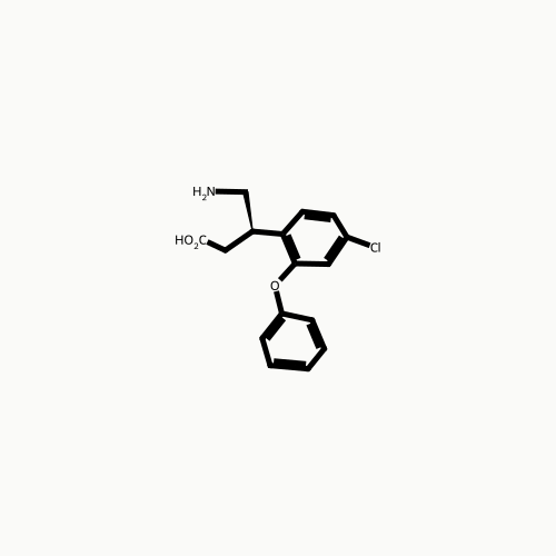 NC[C@H](CC(=O)O)c1ccc(Cl)cc1Oc1ccccc1